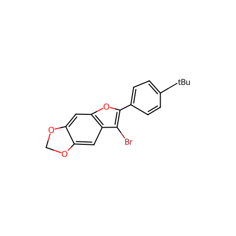 CC(C)(C)c1ccc(-c2oc3cc4c(cc3c2Br)OCO4)cc1